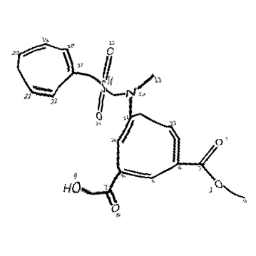 COC(=O)c1cc(C(=O)O)cc(N(C)S(=O)(=O)c2ccccc2)c1